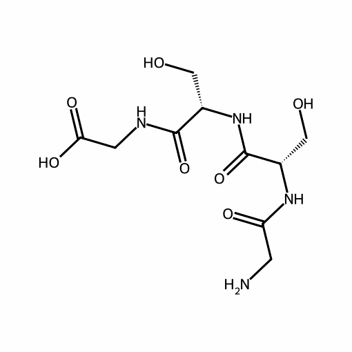 NCC(=O)N[C@@H](CO)C(=O)N[C@@H](CO)C(=O)NCC(=O)O